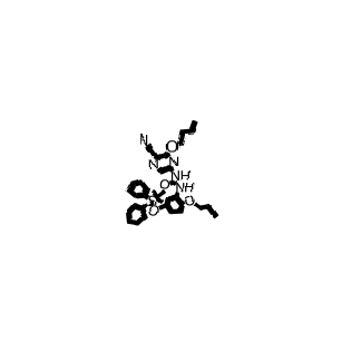 C=CCCOc1nc(NC(=O)Nc2cc(O[Si](c3ccccc3)(c3ccccc3)C(C)(C)C)ccc2OCC=C)cnc1C#N